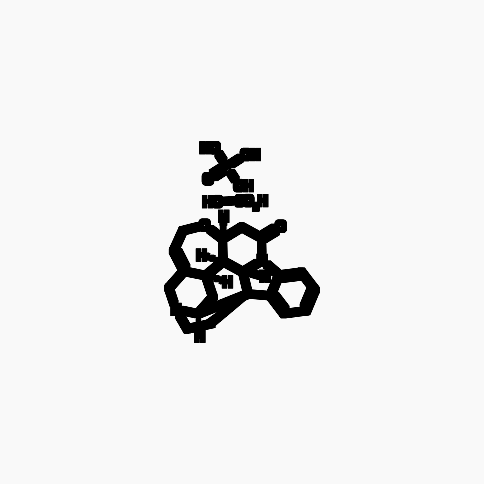 O=C1C[C@@H]2OCC=C3CN4CC[C@]56c7ccccc7N1[C@H]5[C@H]2[C@H]3C[C@H]46.O=P(O)(O)O.O=S(=O)(O)O